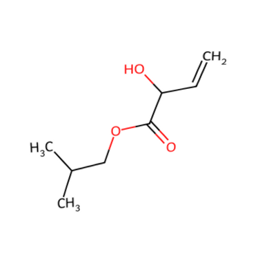 C=CC(O)C(=O)OCC(C)C